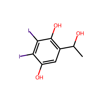 CC(O)c1cc(O)c(I)c(I)c1O